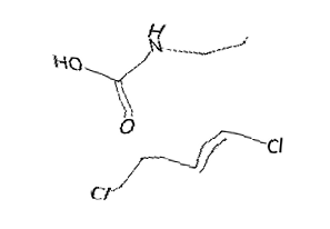 CCNC(=O)O.ClC=CCCl